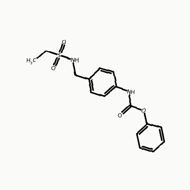 CCS(=O)(=O)NCc1ccc(NC(=O)Oc2ccccc2)cc1